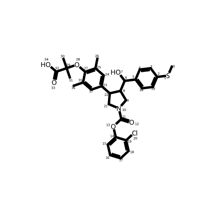 CSc1ccc(C(O)C2CN(C(=O)Oc3ccccc3Cl)CC2c2cc(C)c(OC(C)(C)C(=O)O)c(C)c2)cc1